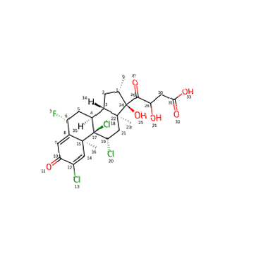 C[C@H]1C[C@H]2[C@@H]3C[C@@H](F)C4=CC(=O)C(Cl)=C[C@]4(C)[C@@]3(Cl)[C@@H](Cl)C[C@]2(C)[C@@]1(O)C(=O)C(O)CC(=O)O